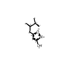 CC(C)C(C)Cc1cc(O)no1